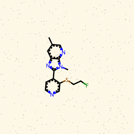 Cc1cnc2c(c1)nc(-c1ccncc1SCCF)n2C